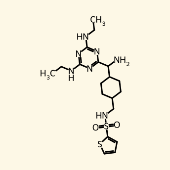 CCNc1nc(NCC)nc(C(N)C2CCC(CNS(=O)(=O)c3cccs3)CC2)n1